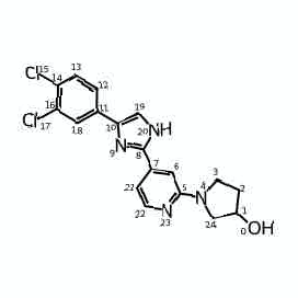 OC1CCN(c2cc(-c3nc(-c4ccc(Cl)c(Cl)c4)c[nH]3)ccn2)C1